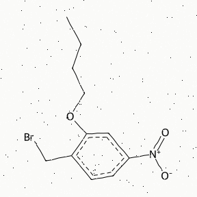 CCCCOc1cc([N+](=O)[O-])ccc1CBr